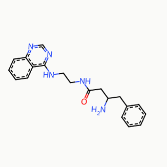 NC(CC(=O)NCCNc1ncnc2ccccc12)Cc1ccccc1